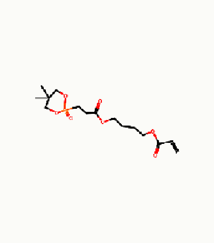 C=CC(=O)OCCCCOC(=O)CCP1(=O)OCC(C)(C)CO1